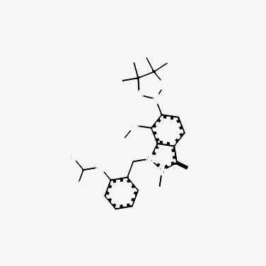 COc1c(B2OC(C)(C)C(C)(C)O2)ccc2c(=O)n(C)n(Cc3ccccc3OC(F)F)c12